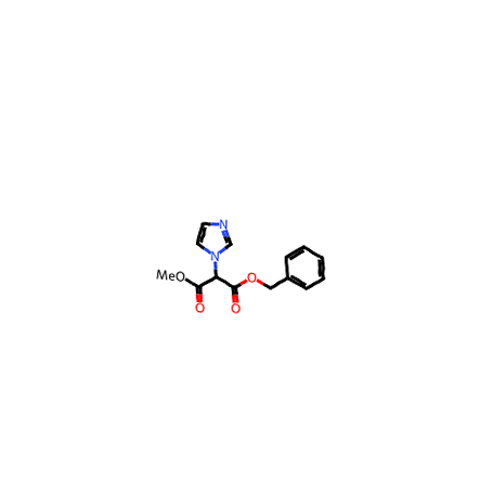 COC(=O)C(C(=O)OCc1ccccc1)n1ccnc1